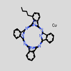 CCCCc1cccc2c3nc4nc(nc5[nH]c(nc6nc(nc([nH]3)c12)-c1ccccc1-6)c1ccccc51)-c1ccccc1-4.[Cu]